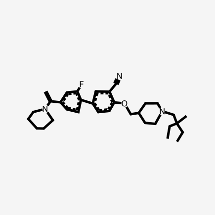 C=C(c1ccc(-c2ccc(OCC3CCN(CC(C)(CC)CC)CC3)c(C#N)c2)c(F)c1)N1CCCCC1